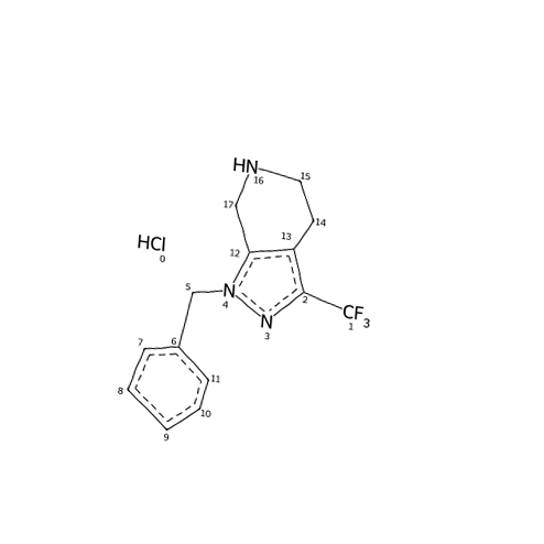 Cl.FC(F)(F)c1nn(Cc2ccccc2)c2c1CCNC2